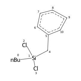 CCCC[Si](Cl)(Cl)Cc1ccccc1